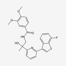 COc1ccc(C(=O)NCC(C)(O)c2cccc(-c3csc4c(F)cccc34)n2)cc1OC